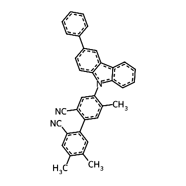 Cc1cc(C#N)c(-c2cc(C)c(-n3c4ccccc4c4cc(-c5ccccc5)ccc43)cc2C#N)cc1C